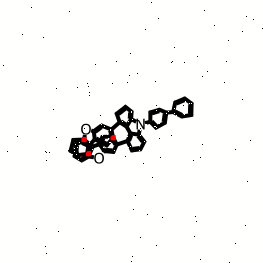 c1ccc(-c2ccc(-n3c4cccc(-c5ccc6c(c5)oc5ccccc56)c4c4c(-c5ccc6c(c5)oc5ccccc56)cccc43)cc2)cc1